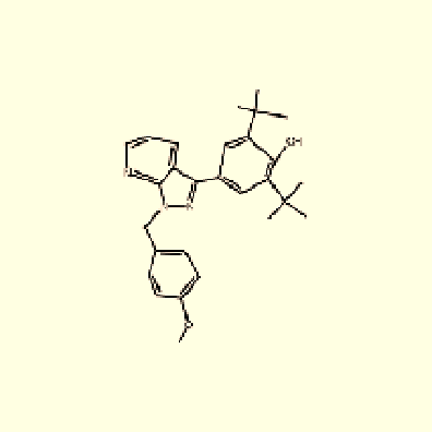 COc1ccc(Cn2nc(-c3cc(C(C)(C)C)c(O)c(C(C)(C)C)c3)c3cccnc32)cc1